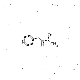 CC([O])NCc1ccncc1